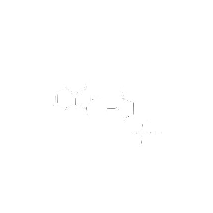 CC(C)(C)[Si](C)(C)O[C@H]1CC(=O)N(CCN2C(=O)c3ccccc3C2=O)C1